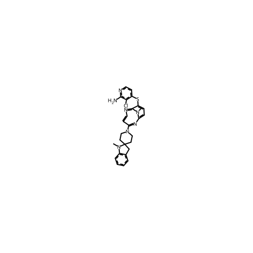 CN1C2=CC=C(Sc3ccnc(N)c3Cl)/C1=N/C=C/C(N1CCC3(CC1)Cc1ccccc1N3C)=N\2